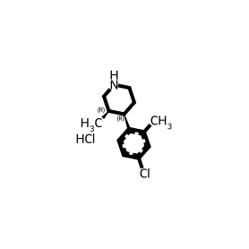 Cc1cc(Cl)ccc1[C@@H]1CCNC[C@@H]1C.Cl